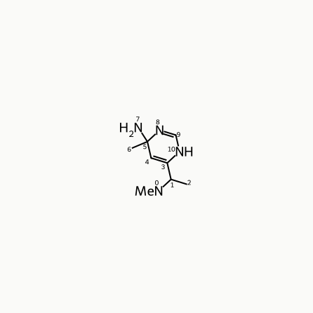 CNC(C)C1=CC(C)(N)N=CN1